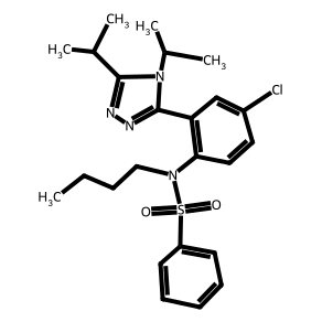 CCCCN(c1ccc(Cl)cc1-c1nnc(C(C)C)n1C(C)C)S(=O)(=O)c1ccccc1